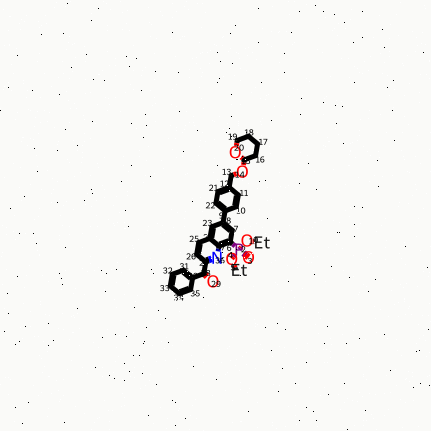 CCOP(=O)(OCC)c1cc(-c2ccc(COC3CCCCO3)cc2)cc2ccc(C(=O)c3ccccc3)nc12